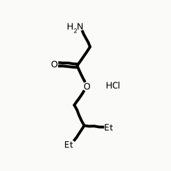 CCC(CC)COC(=O)CN.Cl